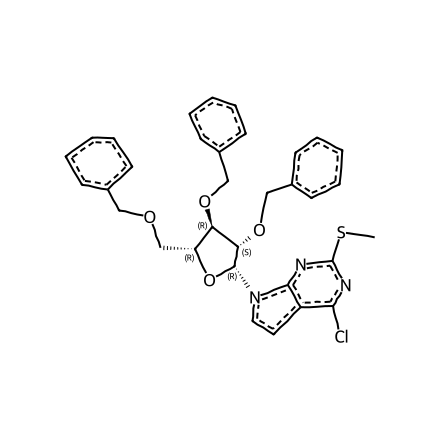 CSc1nc(Cl)c2ccn([C@@H]3O[C@H](COCc4ccccc4)[C@@H](OCc4ccccc4)[C@@H]3OCc3ccccc3)c2n1